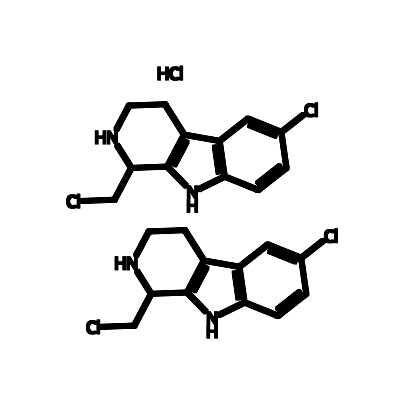 Cl.ClCC1NCCc2c1[nH]c1ccc(Cl)cc21.ClCC1NCCc2c1[nH]c1ccc(Cl)cc21